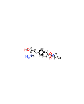 CCCCN(C)C(=O)OC1CCc2cc([C@H](CN)CCCO)ccc2C1